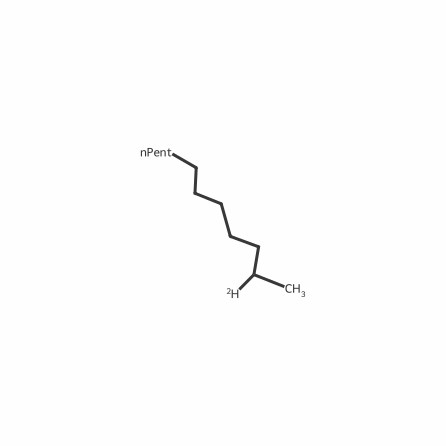 [2H]C(C)CCCCCCCCCC